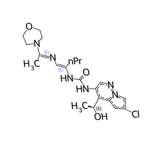 CCC/C(=C\N=C(/C)N1CCOCC1)NC(=O)Nc1cnn2cc(Cl)cc2c1[C@H](C)O